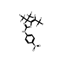 O=[N+]([O-])c1ccc(NC2=NC(C(F)(F)F)(C(F)(F)F)C(=C(F)C(F)(F)F)S2)cc1